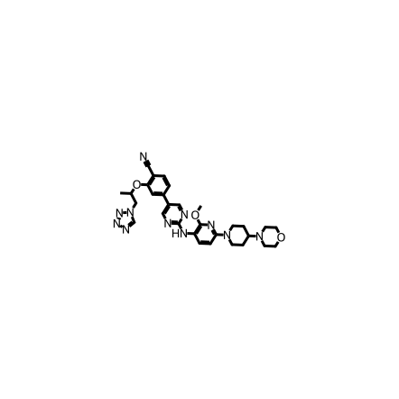 COc1nc(N2CCC(N3CCOCC3)CC2)ccc1Nc1ncc(-c2ccc(C#N)c(OC(C)Cn3cnnn3)c2)cn1